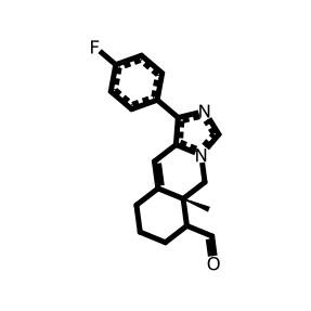 C[C@]12Cn3cnc(-c4ccc(F)cc4)c3C=C1CCCC2C=O